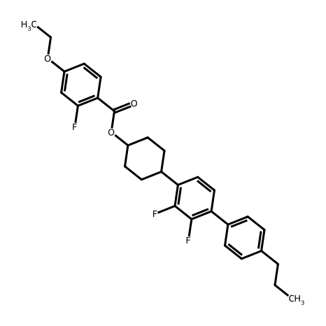 CCCc1ccc(-c2ccc(C3CCC(OC(=O)c4ccc(OCC)cc4F)CC3)c(F)c2F)cc1